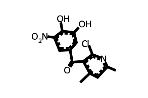 Cc1cc(C)c(C(=O)c2cc(O)c(O)c([N+](=O)[O-])c2)c(Cl)n1